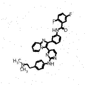 CN(C)CCc1ccc(Nc2nccc(-c3c(-c4cccc(NC(=O)c5cc(F)ccc5F)c4)nc4ccccn34)n2)cc1